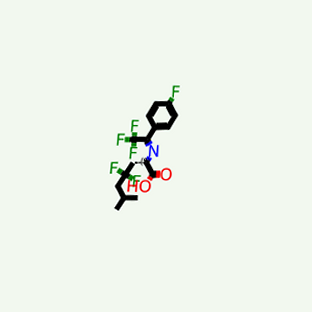 CC(C)CC(F)(F)C[C@H](N=C(c1ccc(F)cc1)C(F)(F)F)C(=O)O